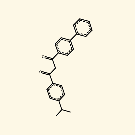 CC(C)c1ccc(C(=O)CC(=O)c2ccc(-c3ccccc3)cc2)cc1